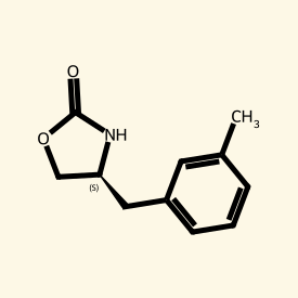 Cc1cccc(C[C@H]2COC(=O)N2)c1